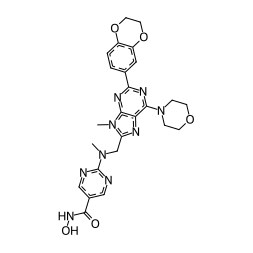 CN(Cc1nc2c(N3CCOCC3)nc(-c3ccc4c(c3)OCCO4)nc2n1C)c1ncc(C(=O)NO)cn1